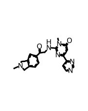 CN1Cc2ccc(C(=O)CNc3nc(-c4ccncn4)cc(=O)n3C)cc2C1